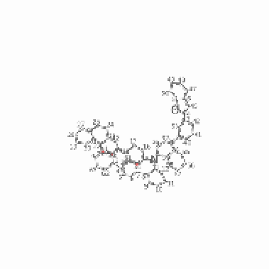 c1ccc(-c2ccc(-c3ccccc3N(c3ccc(-c4ccc5c(ccc6ccccc65)c4)cc3)c3ccc(-c4cccc(-c5cc6ccccc6o5)c4)c4ccccc34)cc2)cc1